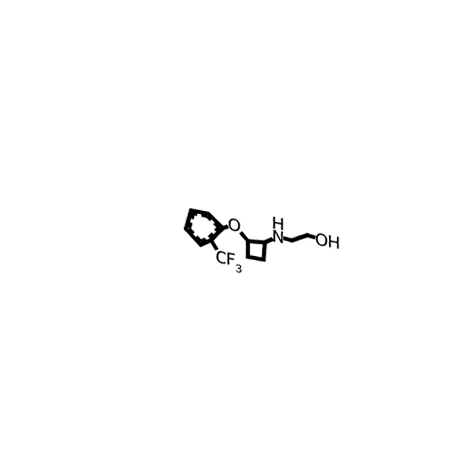 OCCNC1CCC1Oc1ccccc1C(F)(F)F